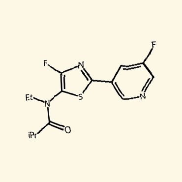 CCN(C(=O)C(C)C)c1sc(-c2cncc(F)c2)nc1F